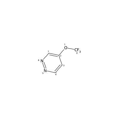 FC(F)(F)Oc1c[c]nnc1